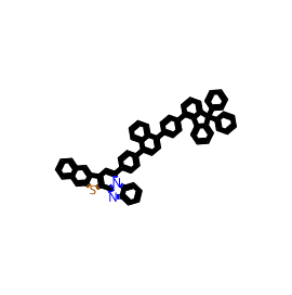 c1ccc(C2(c3ccccc3)c3ccccc3-c3c(-c4ccc(-c5ccc(-c6ccc(-c7cc8c9cc%10ccccc%10cc9sc8c8nc9ccccc9n78)cc6)c6ccccc56)cc4)cccc32)cc1